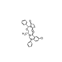 CC(COC(c1ccccc1)N1C(=O)CSC1=O)N1CN(c2ccccc2)c2ccc(Cl)cc2C1=O